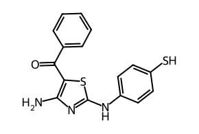 Nc1nc(Nc2ccc(S)cc2)sc1C(=O)c1ccccc1